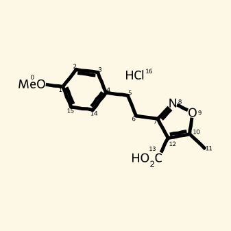 COc1ccc(CCc2noc(C)c2C(=O)O)cc1.Cl